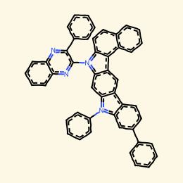 c1ccc(-c2ccc3c4cc5c6c7ccccc7ccc6n(-c6nc7ccccc7nc6-c6ccccc6)c5cc4n(-c4ccccc4)c3c2)cc1